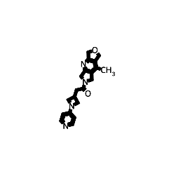 Cc1c2c(nc3c1CN(C(=O)CC1CN(c4ccncc4)C1)C3)COC2